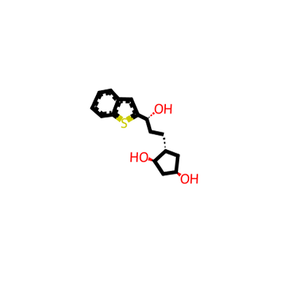 O[C@@H]1C[C@@H](CC[C@@H](O)c2cc3ccccc3s2)[C@H](O)C1